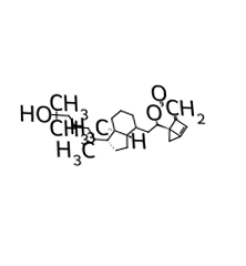 C=C1C=C2C[C@]12C(CC1CCC[C@]2(C)[C@@H]([C@H](C)CCCC(C)(C)O)CC[C@@H]12)OC=O